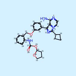 Nc1nccn2c(C3CCC3)nc(-c3cccc(OCc4ccccc4NC(=O)OC4CCCO4)c3)c12